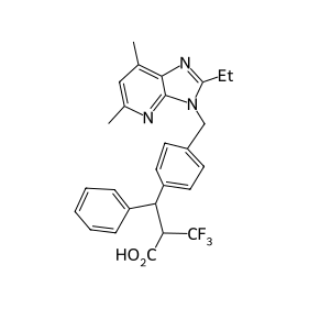 CCc1nc2c(C)cc(C)nc2n1Cc1ccc(C(c2ccccc2)C(C(=O)O)C(F)(F)F)cc1